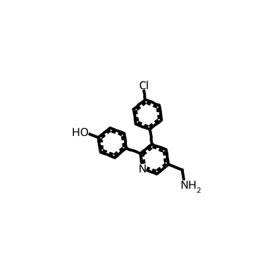 NCc1cnc(-c2ccc(O)cc2)c(-c2ccc(Cl)cc2)c1